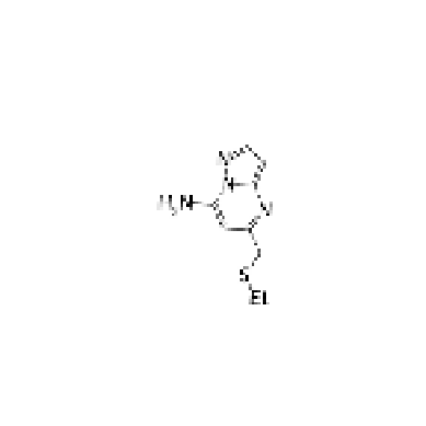 CCSCc1cc(N)n2nccc2n1